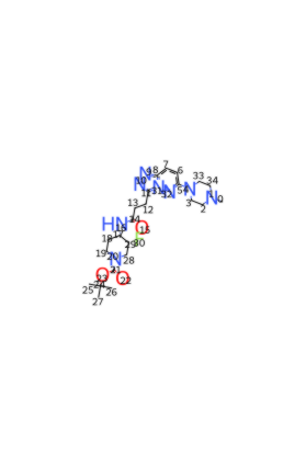 CN1CCN(c2ccc3nnc(CCC(=O)N[C@H]4CCN(C(=O)OC(C)(C)C)C[C@H]4F)n3n2)CC1